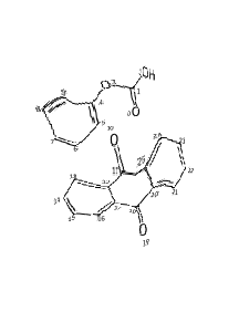 O=C(O)Oc1ccccc1.O=C1c2ccccc2C(=O)c2ccccc21